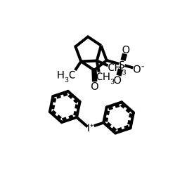 CC12CCC(C(S(=O)(=O)[O-])C1=O)C2(C)C.c1ccc([I+]c2ccccc2)cc1